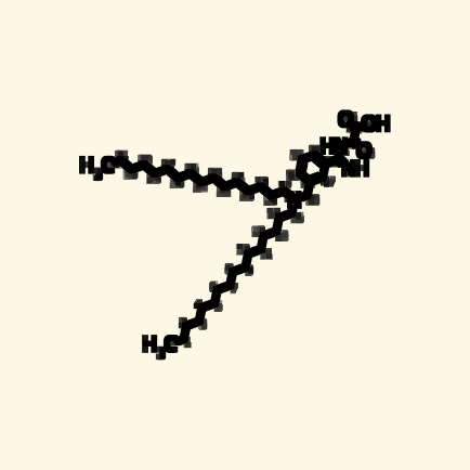 CCCCCCCCCCCCCCCCN(CCCCCCCCCCCCCCCC)Cc1cccc(C(=N)NC(=O)C(=O)O)c1